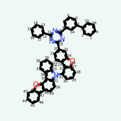 c1ccc(-c2cccc(-c3nc(-c4ccccc4)nc(-c4ccc5c(c4)oc4cccc(-n6c7ccccc7c7c8oc9ccccc9c8ccc76)c45)n3)c2)cc1